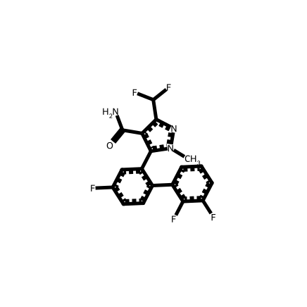 Cn1nc(C(F)F)c(C(N)=O)c1-c1cc(F)ccc1-c1cccc(F)c1F